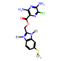 CCn1c(COC(=O)c2nc(Cl)c(N)nc2N)[n+](CC)c2ccc(SC(F)(F)F)cc21